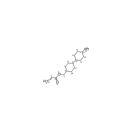 C=CC(=O)OCC1CCC(C2CCC(CCC)CC2)CC1